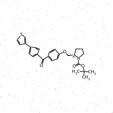 CC(C)(C)OC(=O)N1CCC[C@@H]1COc1ccc(C(=O)c2ccc(-c3ccsc3)cc2)cc1